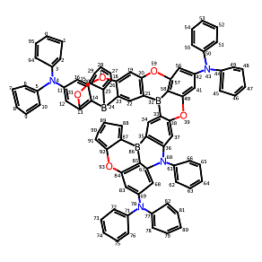 c1ccc(N(c2ccccc2)c2cc3c4c(c2)Oc2cc5c(cc2B4c2ccccc2O3)B2c3cc4c(cc3Oc3cc(N(c6ccccc6)c6ccccc6)cc(c32)O5)N(c2ccccc2)c2cc(N(c3ccccc3)c3ccccc3)cc3c2B4c2ccccc2O3)cc1